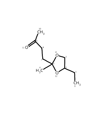 CCC1COC(C)(CCC(C)=O)O1